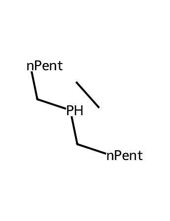 CC.CCCCCCPCCCCCC